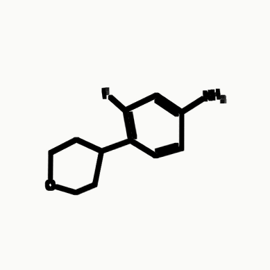 Nc1ccc(C2CCOCC2)c(F)c1